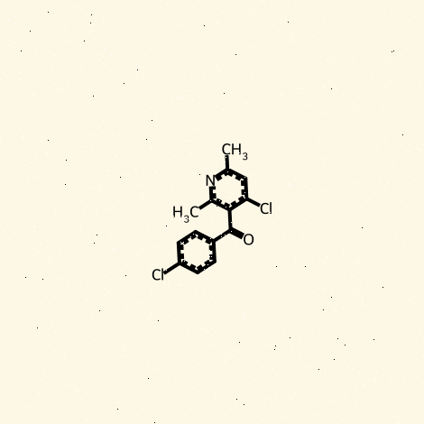 Cc1cc(Cl)c(C(=O)c2ccc(Cl)cc2)c(C)n1